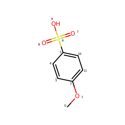 COc1[c]cc(S(=O)(=O)O)cc1